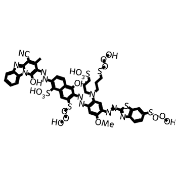 COc1cc(N=Nc2c(SOOO)cc3c(S(=O)(=O)O)c(N=Nc4c(C)c(C#N)c5nc6ccccc6n5c4O)ccc3c2O)c(N(CCCSOOO)CCCS(=O)(=O)O)cc1N=Nc1nc2ccc(SOOO)cc2s1